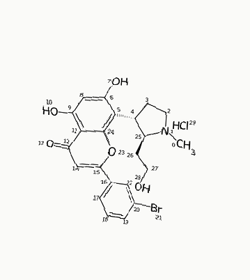 CN1CC[C@@H](c2c(O)cc(O)c3c(=O)cc(-c4cccc(Br)c4)oc23)[C@@H]1CCO.Cl